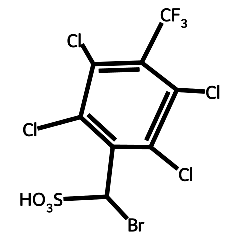 O=S(=O)(O)C(Br)c1c(Cl)c(Cl)c(C(F)(F)F)c(Cl)c1Cl